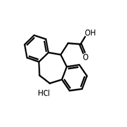 Cl.O=C(O)CC1c2ccccc2CCc2ccccc21